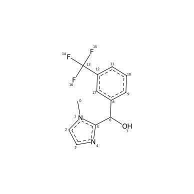 Cn1ccnc1C(O)c1cccc(C(F)(F)F)c1